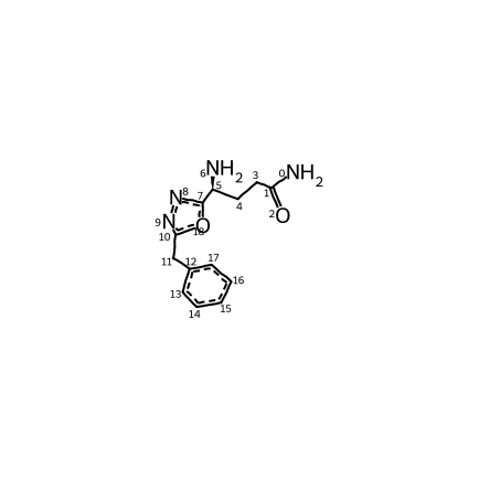 NC(=O)CC[C@H](N)c1nnc(Cc2ccccc2)o1